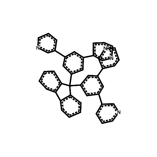 c1cncc(-c2cc(-c3cccnc3)cc(C3(c4cc(-c5cccnc5)cc(-c5cccnc5)c4)c4ccccc4-c4ccccc43)c2)c1